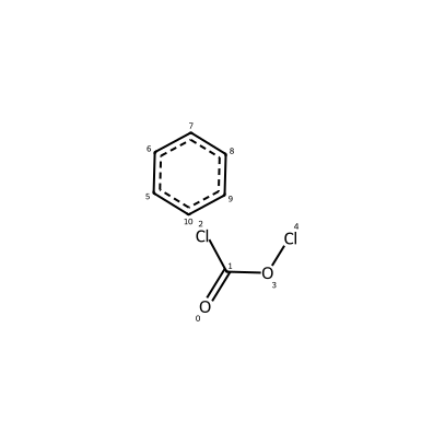 O=C(Cl)OCl.c1ccccc1